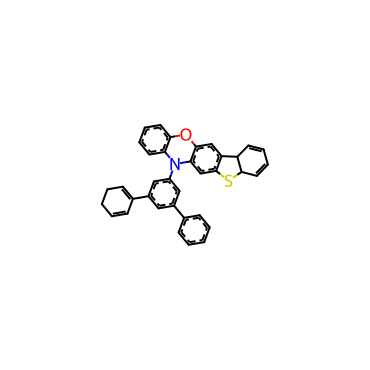 C1=CC2Sc3cc4c(cc3C2C=C1)Oc1ccccc1N4c1cc(C2=CCCC=C2)cc(-c2ccccc2)c1